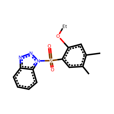 CCOc1cc(C)c(C)cc1S(=O)(=O)n1nnc2ccccc21